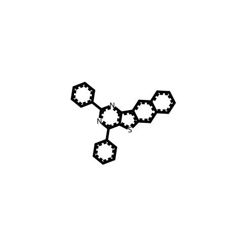 c1ccc(-c2nc(-c3ccccc3)c3sc4cc5ccccc5cc4c3n2)cc1